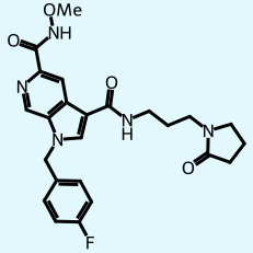 CONC(=O)c1cc2c(C(=O)NCCCN3CCCC3=O)cn(Cc3ccc(F)cc3)c2cn1